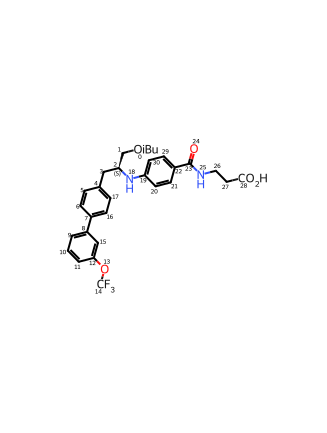 CC(C)COC[C@H](Cc1ccc(-c2cccc(OC(F)(F)F)c2)cc1)Nc1ccc(C(=O)NCCC(=O)O)cc1